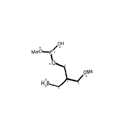 BCC(COC)COP(O)OC